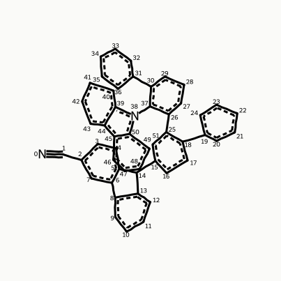 N#Cc1ccc2c(c1)-c1ccccc1C2c1ccc(-c2ccccc2)c(-c2cccc(-c3ccccc3)c2-n2c3ccccc3c3ccccc32)c1